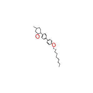 CCCCCCCCCOc1ccc(-c2ccc(C3CCC(C)CC3=O)cc2)cc1